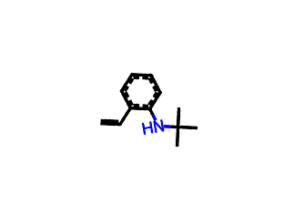 C=Cc1ccccc1NC(C)(C)C